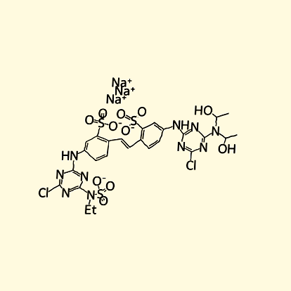 CCN(c1nc(Cl)nc(Nc2ccc(C=Cc3ccc(Nc4nc(Cl)nc(N(C(C)O)C(C)O)n4)cc3S(=O)(=O)[O-])c(S(=O)(=O)[O-])c2)n1)S(=O)(=O)[O-].[Na+].[Na+].[Na+]